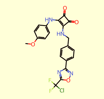 COc1ccc(Nc2c(NCc3ccc(-c4noc(C(F)(F)Cl)n4)cc3)c(=O)c2=O)cc1